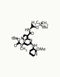 COc1ncccc1Nc1cc(N(C)C(=O)OC(C)(C)C)n2ncc(C(=O)NC3CC3O[Si](C)(C)C(C)(C)C)c2n1